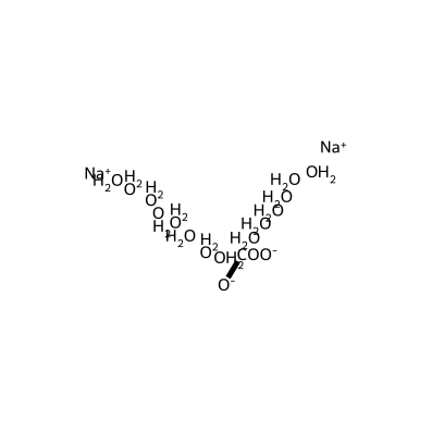 O.O.O.O.O.O.O.O.O.O.O.O.O.O.O=C([O-])[O-].[Na+].[Na+]